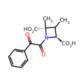 CC1[C@@H](C(=O)O)N(C(=O)C(=O)c2ccccc2)[C@]1(C)C(=O)O